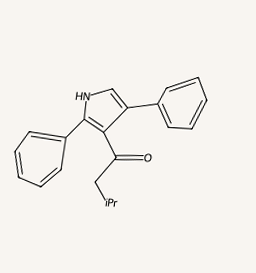 CC(C)CC(=O)c1c(-c2ccccc2)c[nH]c1-c1ccccc1